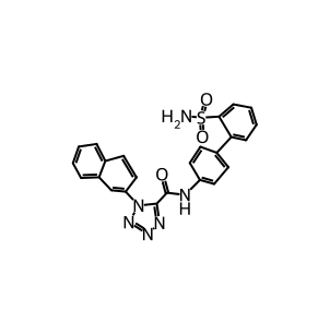 NS(=O)(=O)c1ccccc1-c1ccc(NC(=O)c2nnnn2-c2ccc3ccccc3c2)cc1